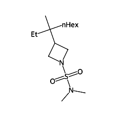 CCCCCCC(C)(CC)C1CN(S(=O)(=O)N(C)C)C1